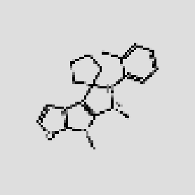 Cc1ccccc1N1[C@@H](C)c2c(c3ccoc3n2C)C12CCCC2